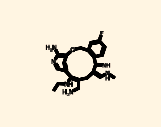 CCN/C1=C(\CN)C/C(=C/NC)C(=N)c2ccc(F)cc2COc2cc1cnc2N